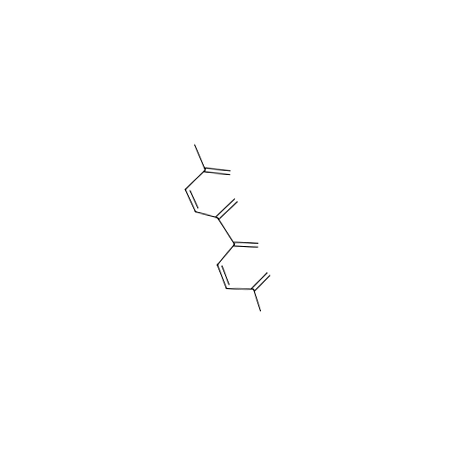 C=C(C)/C=C\C(=C)C(=C)/C=C\C(=C)C